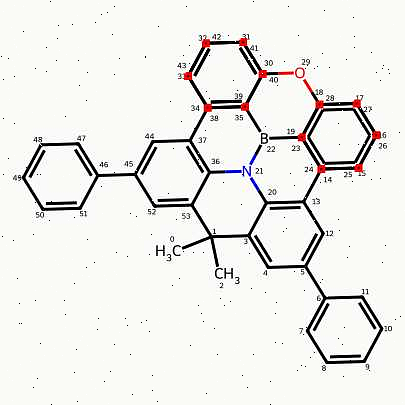 CC1(C)c2cc(-c3ccccc3)cc(-c3ccccc3)c2N(B2c3ccccc3Oc3ccccc32)c2c(-c3ccccc3)cc(-c3ccccc3)cc21